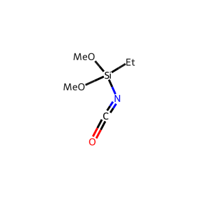 CC[Si](N=C=O)(OC)OC